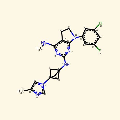 CNc1nc(NC23CC(n4cnc(C)c4)(C2)C3)nc2c1CCN2c1cc(F)cc(Cl)c1